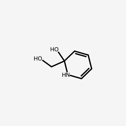 OCC1(O)C=CC=CN1